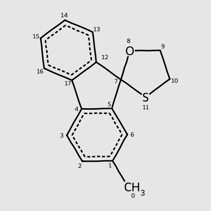 Cc1ccc2c(c1)C1(OCCS1)c1ccccc1-2